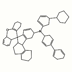 C1=CC(C2CCCCC2)CC(N(C2C=CC(C3=CCCC=C3)=CC2)C2C=CC3=C(C2)C2C4=C(CCCC4)CCC2C32C3=C(CCCC3)OC3C=CC=CC32)=C1